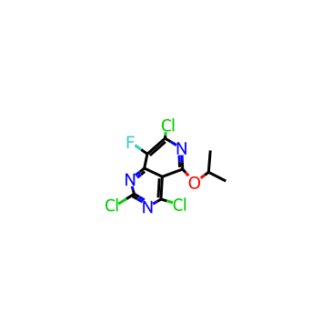 CC(C)Oc1nc(Cl)c(F)c2nc(Cl)nc(Cl)c12